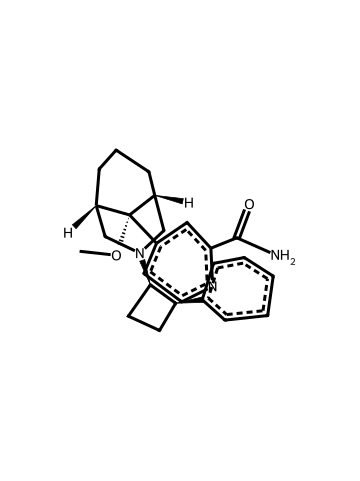 CO[C@@]1(c2ccnc(C(N)=O)c2)[C@@H]2CCC[C@H]1CN([C@@H]1CC[C@@H]1c1ccccc1)C2